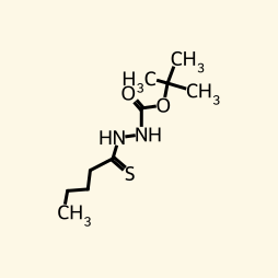 CCCCC(=S)NNC(=O)OC(C)(C)C